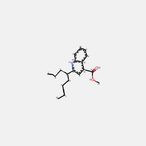 CCCCC(CCC)c1cc(C(=O)OC)c2ccccc2n1